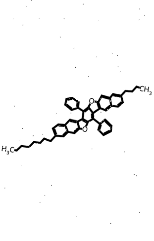 CCCCCCCCc1ccc2cc3c(cc2c1)oc1c(-c2ccccc2)c2c(oc4cc5cc(CCCC)ccc5cc42)c(-c2ccccc2)c13